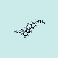 CC[C@@H]1CCC2C3=Nc4cccc(OC)c4C3CCN2C1